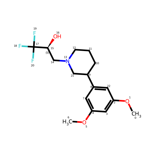 COc1cc(OC)cc(C2CCCN(C[C@H](O)C(F)(F)F)C2)c1